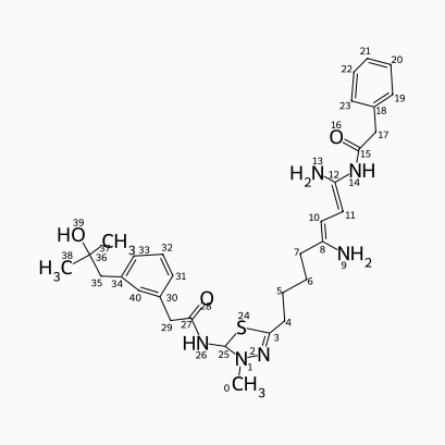 CN1N=C(CCCC/C(N)=C/C=C(\N)NC(=O)Cc2ccccc2)SC1NC(=O)Cc1cccc(CC(C)(C)O)c1